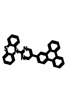 c1ccc2c(c1)Sc1ccccc1N2c1ncc(-c2ccc3c4ccccc4c4ccccc4c3c2)cn1